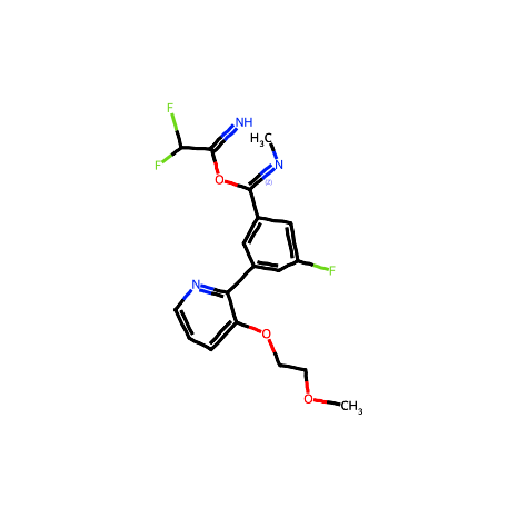 C/N=C(\OC(=N)C(F)F)c1cc(F)cc(-c2ncccc2OCCOC)c1